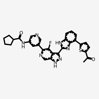 CC(=O)c1ccc(-c2cccc3[nH]c(-c4n[nH]c5cnc(-c6cncc(NC(=O)C7CCCC7)c6)c(F)c45)nc23)s1